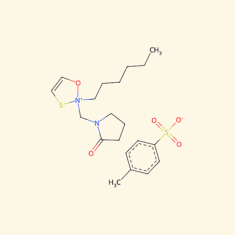 CCCCCC[N+]1(CN2CCCC2=O)OC=CS1.Cc1ccc(S(=O)(=O)[O-])cc1